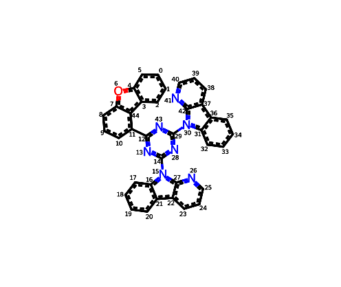 c1ccc2c(c1)oc1cccc(-c3nc(-n4c5ccccc5c5cccnc54)nc(-n4c5ccccc5c5cccnc54)n3)c12